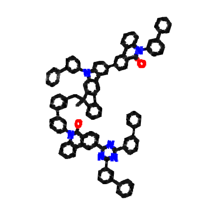 CC1(Cc2cccc(-c3cccc(-n4c(=O)c5ccc(-c6nc(-c7cccc(-c8ccccc8)c7)nc(-c7cccc(-c8ccccc8)c7)n6)cc5c5ccccc54)c3)c2)c2ccccc2-c2cc3c4cc(-c5ccc6c(=O)n(-c7cccc(-c8ccccc8)c7)c7ccccc7c6c5)ccc4n(-c4cccc(-c5ccccc5)c4)c3cc21